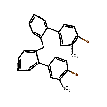 O=[N+]([O-])c1cc(-c2ccccc2Cc2ccccc2-c2ccc(Br)c([N+](=O)[O-])c2)ccc1Br